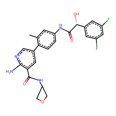 Cc1cc(NC(=O)[C@H](O)c2cc(F)cc(F)c2)ccc1-c1cnc(N)c(C(=O)NC2COC2)c1